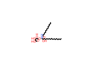 CCCCCCCCCCCCCCC[C@@H](O)[C@H](CO[C@@H]1OC[C@H](O)[C@H](O)[C@H]1O)NC(=O)CCCCCCCCCCCCC